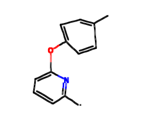 [CH2]c1cccc(Oc2ccc(C)cc2)n1